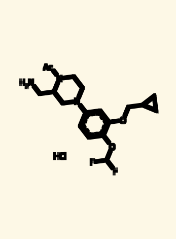 CC(=O)N1CCN(c2ccc(OC(F)F)c(OCC3CC3)c2)CC1CN.Cl